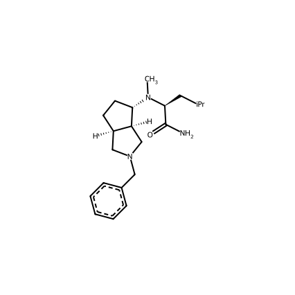 CC(C)C[C@@H](C(N)=O)N(C)[C@H]1CC[C@@H]2CN(Cc3ccccc3)C[C@@H]21